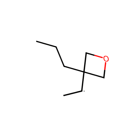 C[CH]C1(CCC)COC1